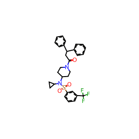 O=C(CC(c1ccccc1)c1ccccc1)N1CCC(N(C2CC2)S(=O)(=O)c2cccc(C(F)(F)F)c2)CC1